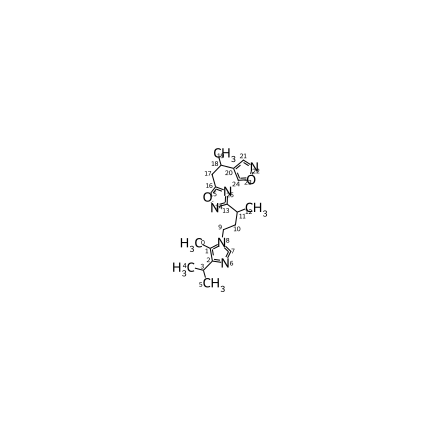 Cc1c(C(C)C)ncn1CCC(C)c1noc(CC(C)c2cnoc2)n1